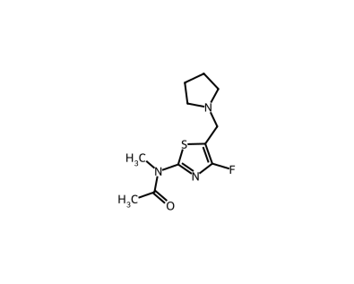 CC(=O)N(C)c1nc(F)c(CN2CCCC2)s1